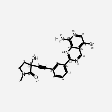 CN1CC[C@](O)(C#Cc2cccc(-c3ncc4c(Br)cnc(N)c4n3)c2)C1=O